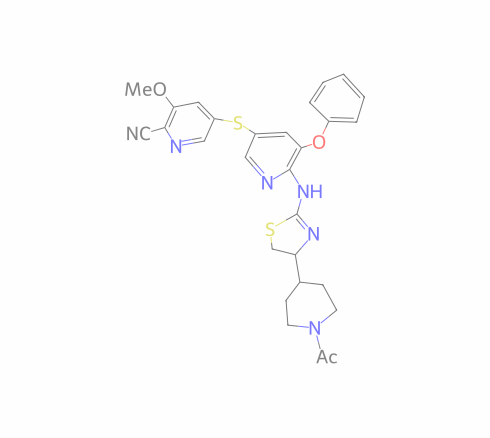 COc1cc(Sc2cnc(NC3=NC(C4CCN(C(C)=O)CC4)CS3)c(Oc3ccccc3)c2)cnc1C#N